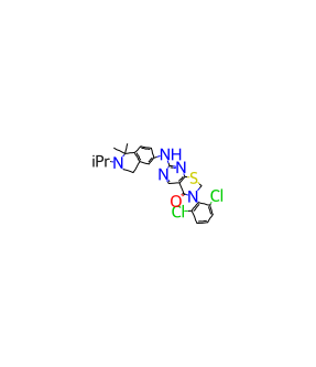 CC(C)N1CCc2cc(Nc3ncc4c(n3)SCN(c3c(Cl)cccc3Cl)C4=O)ccc2C1(C)C